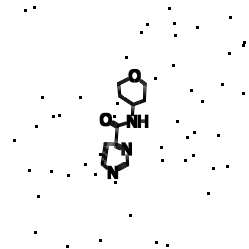 O=C(NC1CCOCC1)c1ccncn1